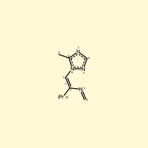 C=N/C(=C\n1ncnc1C)C(C)C